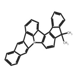 CC1(C)c2ccccc2-c2c1ccc1c2c2cccc3c4cc5ccccc5cc4n1c32